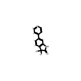 O=C1Nc2cc(-c3ccncc3)ccc2C1(F)F